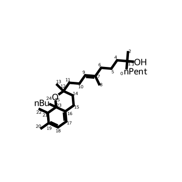 CCCCCC(C)(O)CCC/C(C)=C/CCC1(C)CCC2=CC=C(C)C(C)C2(CCCC)O1